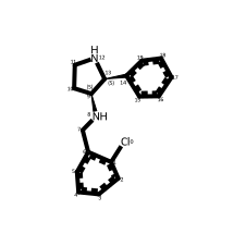 Clc1ccccc1CN[C@H]1CCN[C@H]1c1ccccc1